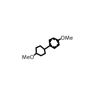 COc1ccc(C2CCC(OC)CC2)cc1